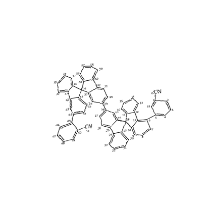 N#Cc1cccc(-c2cccc3c2-c2ccccc2C32c3ccccc3-c3ccc(-c4ccc5c(c4)C4(c6ccccc6-c6cc(-c7ccccc7C#N)ccc64)c4ccccc4-5)cc32)c1